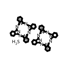 S.c1ccc2c(c1)-c1nc-2nc2[nH]c(nc3nc(nc4[nH]c(n1)c1ccccc41)-c1ccccc1-3)c1ccccc21.c1ccc2c(c1)-c1nc-2nc2[nH]c(nc3nc(nc4[nH]c(n1)c1ccccc41)-c1ccccc1-3)c1ccccc21